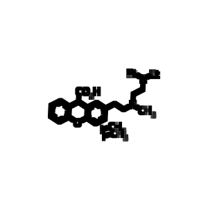 CCN(CC)CCN(C)CCc1ccc2c(c1)C(C(=O)O)c1ccccc1O2.CI.CI